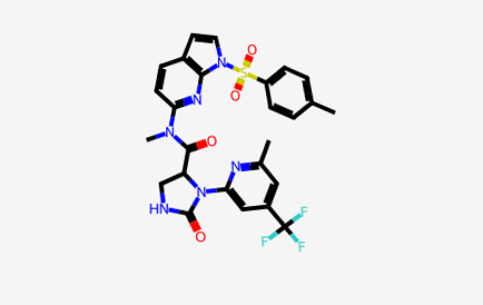 Cc1ccc(S(=O)(=O)n2ccc3ccc(N(C)C(=O)C4CNC(=O)N4c4cc(C(F)(F)F)cc(C)n4)nc32)cc1